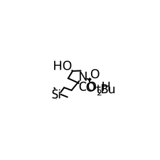 CC(C)(C)OC(=O)N1CC(O)CC1(CC[Si](C)(C)C)C(=O)O